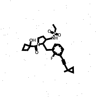 CCS(=O)(=O)NC1CCN(C(=O)C2(O)CCC2)C1Cc1cccc(C#CC2(C)CC2)c1F